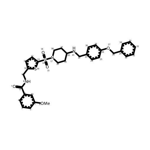 COc1cccc(C(=O)NCc2ccc(S(=O)(=O)N3CCC(NCc4ccc(OCc5ccccc5)cc4)CC3)s2)c1